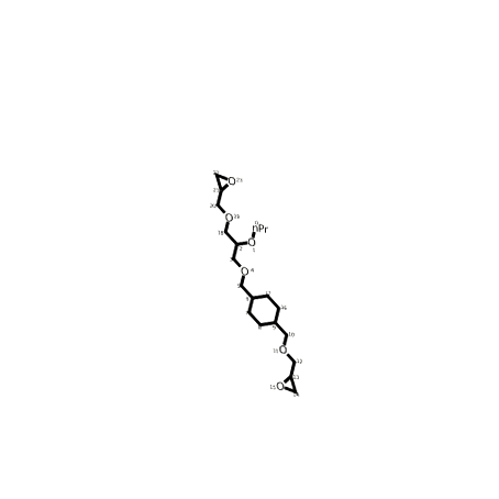 CCCOC(COCC1CCC(COCC2CO2)CC1)COCC1CO1